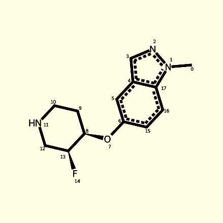 Cn1ncc2cc(O[C@@H]3CCNC[C@@H]3F)ccc21